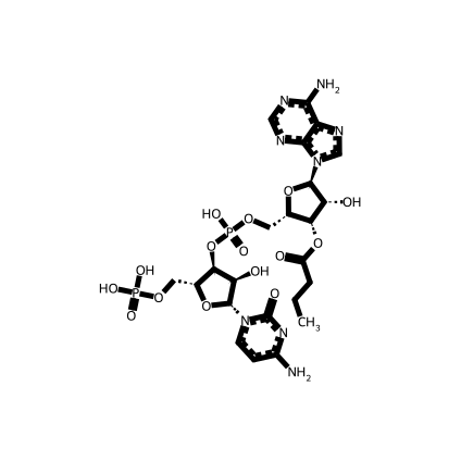 CCCC(=O)O[C@H]1[C@@H](O)[C@H](n2cnc3c(N)ncnc32)O[C@H]1COP(=O)(O)O[C@H]1[C@@H](O)[C@H](n2ccc(N)nc2=O)O[C@@H]1COP(=O)(O)O